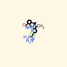 Cc1nn(Cc2c(C(N)=O)cccc2C2CC2)c2nc(C(F)(F)/C(N)=N/N)ccc12